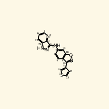 c1cnc2c(Nc3ccc4c(-c5ccsc5)noc4c3)n[nH]c2c1